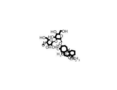 C=C1C[C@@]2(C)CCC3(O)C(C)(C)CCC[C@@]3(C)[C@@H]2CC[C@H]1OC[C@@H]1OC(CO)[C@@H](O)C(O)C1O[C@@H]1OC(CO)[C@@H](N=O)C(O)C1O